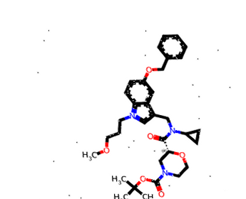 COCCCn1cc(CN(C(=O)[C@H]2CN(C(=O)OC(C)(C)C)CCO2)C2CC2)c2cc(OCc3ccccc3)ccc21